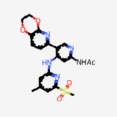 CC(=O)Nc1cc(Nc2cc(C)cc(S(C)(=O)=O)n2)c(-c2ccc3c(n2)OCCO3)cn1